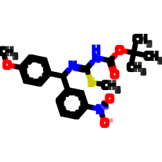 COc1ccc(C(/N=C(/NC(=O)OC(C)(C)C)SC)c2cccc([N+](=O)[O-])c2)cc1